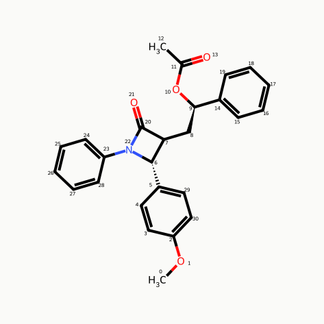 COc1ccc([C@H]2C(C[C@@H](OC(C)=O)c3ccccc3)C(=O)N2c2ccccc2)cc1